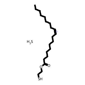 CCCCCCCC/C=C\CCCCCCCC(=O)OCCS.S